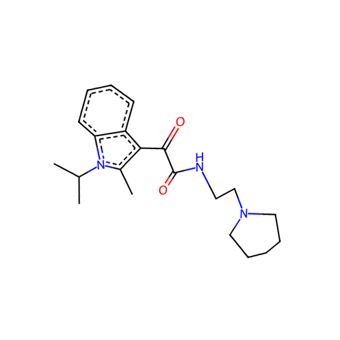 Cc1c(C(=O)C(=O)NCCN2CCCCC2)c2ccccc2n1C(C)C